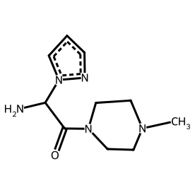 CN1CCN(C(=O)C(N)n2cccn2)CC1